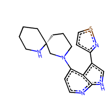 c1cc(N2CCC[C@]3(CCCCN3)C2)c2c(-c3ccsn3)c[nH]c2n1